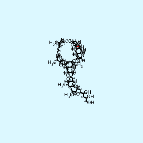 C=C1C[C@@H]2CC[C@@]34C[C@@H]5O[C@@H]6[C@@H](C[C@H]7CC[C@H](CC(=O)O[C@@H]8[C@@H](C)[C@@H]9O[C@@H]%10C[C@]%11(C[C@@H]%12O[C@]%13(C[C@H](C)[C@@H]%14O[C@H]([C@@H](O)C[C@@H](O)CO)C[C@@H]%14O%13)C[C@H](C)[C@@H]%12O%11)O[C@@H]%10C[C@@H]9O[C@H]8C[C@H]8O[C@@H](CC[C@@H]1O2)C[C@@H](C)C8=C)O[C@@H]7[C@@H]6O3)[C@@H]5O4